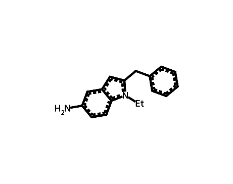 CCn1c(Cc2ccccc2)cc2cc(N)ccc21